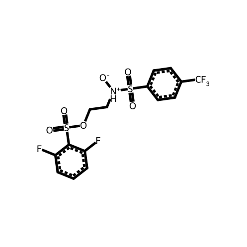 O=S(=O)(OCC[NH+]([O-])S(=O)(=O)c1ccc(C(F)(F)F)cc1)c1c(F)cccc1F